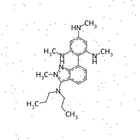 CCCN(CCC)c1c2cccc(-c3c(NC)cc(NC)cc3NC)c2nn1C